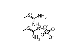 C[S+]=C(N)N.C[S+]=C(N)N.O=S(=O)([O-])[O-]